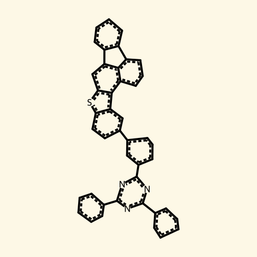 c1ccc(-c2nc(-c3ccccc3)nc(-c3cccc(-c4ccc5sc6cc7c8c(cccc8c6c5c4)-c4ccccc4-7)c3)n2)cc1